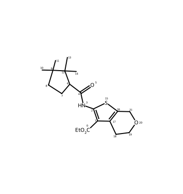 CCOC(=O)c1c(NC(=O)C2CCC(C)(C)C2(C)C)sc2c1CCOC2